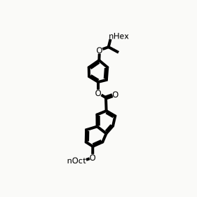 CCCCCCCCOc1ccc2cc(C(=O)Oc3ccc(OC(C)CCCCCC)cc3)ccc2c1